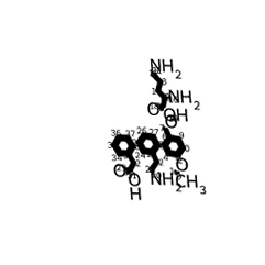 CCOc1ccc(C=O)cc1.NCCC[C@H](N)C(=O)O.NCCc1ccccc1.O=C(O)Cc1ccccc1